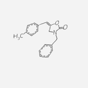 Cc1ccc(/C=C2\CN(Cc3ccccc3)C(=O)O2)cc1